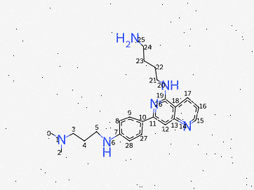 CN(C)CCCNc1ccc(-c2cc3ncccc3c(NCCCCN)n2)cc1